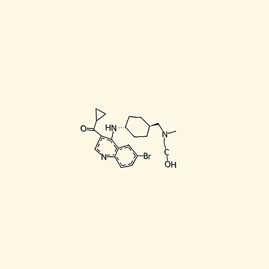 CN(CCO)C[C@H]1CC[C@H](Nc2c(C(=O)C3CC3)cnc3ccc(Br)cc23)CC1